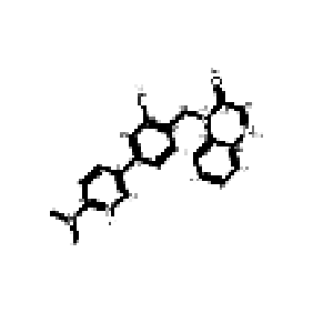 CN(C)c1ccc(-c2ccc(Cn3c(=O)cnc4ccccc43)c(F)c2)cn1